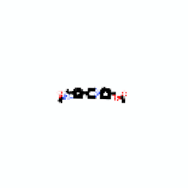 CC(=O)NC(C)c1ccc(C2CCN(c3ccc(COC(C)=O)cc3)CC2)cc1